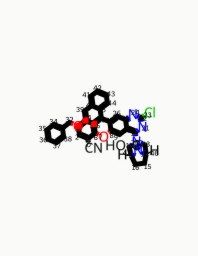 N#Cc1ccccc1Oc1cc2c(N3C[C@H]4CC[C@@H](C3)N4C(=O)O)nc(Cl)nc2cc1-c1cc(OCc2ccccc2)cc2ccccc12